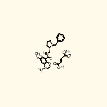 CSc1cc(C(=O)NC[C@H]2CCCN2Cc2ccccc2)c2c(c1)N(C)CCO2.O=C(O)C=CC(=O)O